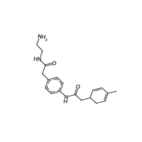 CC1=CCC(CC(=O)Nc2ccc(CC(=O)NCCN)cc2)C=C1